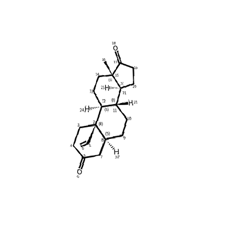 C=C[C@]12CCC(=O)C[C@@H]1CC[C@@H]1[C@@H]2CC[C@]2(C)C(=O)CC[C@@H]12